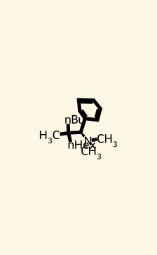 CCCCCCC(C)(CCCC)[C@@H](c1ccccc1)N(C)C